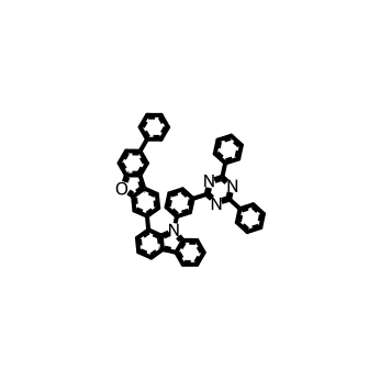 c1ccc(-c2ccc3oc4cc(-c5cccc6c7ccccc7n(-c7cccc(-c8nc(-c9ccccc9)nc(-c9ccccc9)n8)c7)c56)ccc4c3c2)cc1